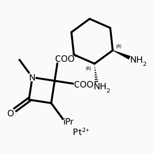 CC(C)C1C(=O)N(C)C1(C(=O)[O-])C(=O)[O-].N[C@@H]1CCCC[C@H]1N.[Pt+2]